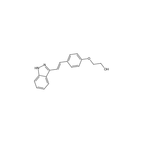 OCCOc1ccc(/C=C/c2n[nH]c3ccccc23)cc1